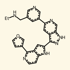 CCNCc1cncc(-c2cc3c(-c4cc5c(-c6ccoc6)nccc5[nH]4)n[nH]c3cn2)c1